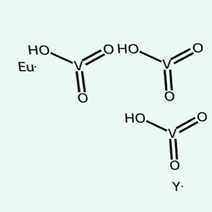 [Eu].[O]=[V](=[O])[OH].[O]=[V](=[O])[OH].[O]=[V](=[O])[OH].[Y]